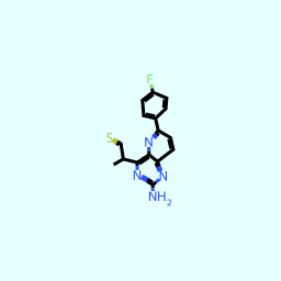 CC(C=S)c1nc(N)nc2ccc(-c3ccc(F)cc3)nc12